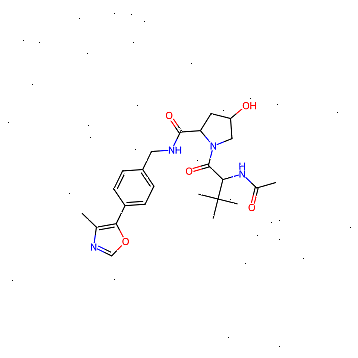 CC(=O)NC(C(=O)N1CC(O)CC1C(=O)NCc1ccc(-c2ocnc2C)cc1)C(C)(C)C